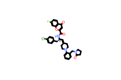 O=C(N[C@@H](C=C1CCN(c2ccccc2CN2CCCC2=O)CC1)Cc1ccc(Cl)cc1)c1cc(=O)c2ccc(F)cc2o1